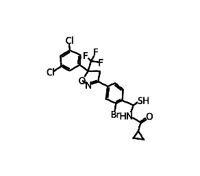 O=C(NC(S)c1ccc(C2=NOC(c3cc(Cl)cc(Cl)c3)(C(F)(F)F)C2)cc1Br)C1CC1